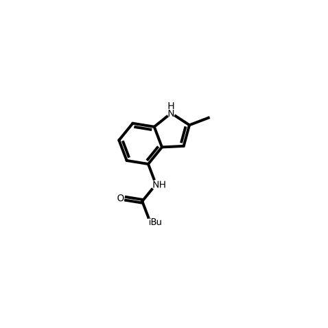 CCC(C)C(=O)Nc1cccc2[nH]c(C)cc12